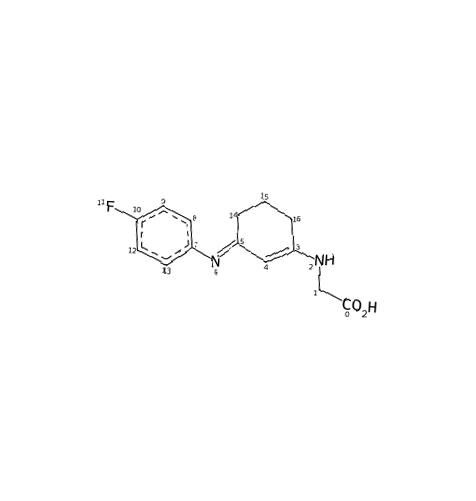 O=C(O)CNC1=CC(=Nc2ccc(F)cc2)CCC1